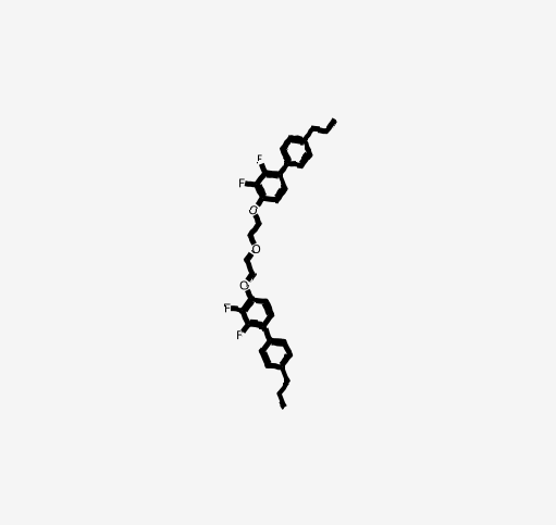 CCCc1ccc(-c2ccc(OCCOCCOc3ccc(-c4ccc(CCC)cc4)c(F)c3F)c(F)c2F)cc1